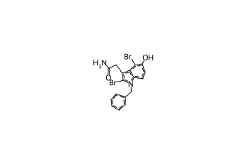 NC(=O)Cc1c(Br)n(Cc2ccccc2)c2ccc(O)c(Br)c12